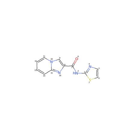 O=C(Nc1nccs1)c1cn2ccccc2n1